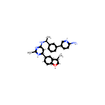 Cc1nc(NC(C)c2cccc(-c3ccc(N)nc3)c2)cc(-c2ccc3occ(C)c3c2)n1